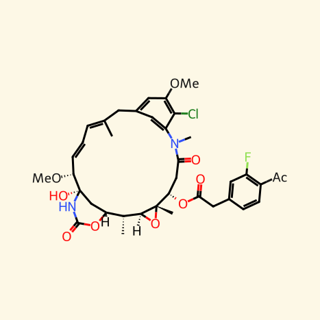 COc1cc2cc(c1Cl)N(C)C(=O)C[C@H](OC(=O)Cc1ccc(C(C)=O)c(F)c1)[C@]1(C)O[C@H]1[C@H](C)[C@@H]1C[C@@](O)(NC(=O)O1)[C@H](OC)/C=C/C=C(\C)C2